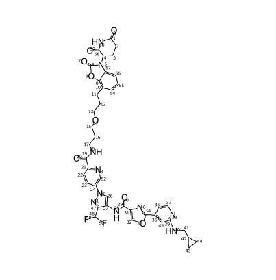 O=C1CCC(n2c(=O)oc3c(CCCOCCCNC(=O)c4ccc(-n5cc(NC(=O)c6coc(-c7ccnc(NCC8CC8)c7)n6)c(C(F)F)n5)cn4)cccc32)C(=O)N1